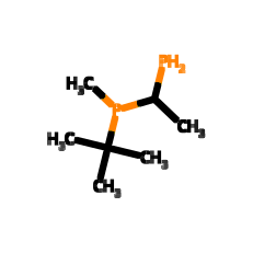 CC(P)P(C)C(C)(C)C